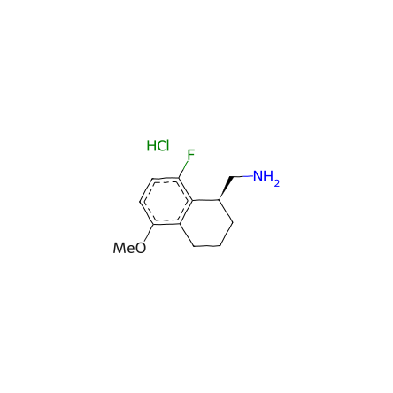 COc1ccc(F)c2c1CCC[C@@H]2CN.Cl